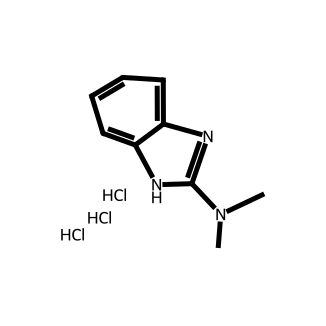 CN(C)c1nc2ccccc2[nH]1.Cl.Cl.Cl